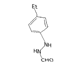 CCc1ccc(NNC=O)cc1